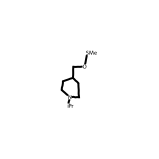 CSOCC1CCN(C(C)C)CC1